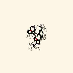 Cl.Cl.[CH2]=[Zr]([C]1=CC=CC1)([c]1ccccc1)([CH]1CCC1)[CH]1c2cc(C(C)(C)C)ccc2-c2ccc(C(C)(C)C)cc21